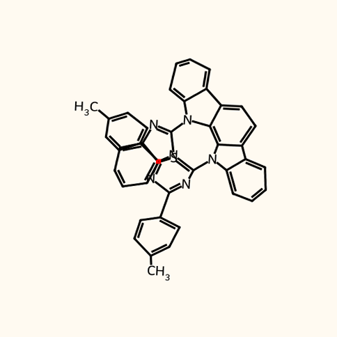 Cc1ccc(-c2nc(-c3ccc(C)cc3)nc(-n3c4ccccc4c4ccc5c6ccccc6n(-c6nc7ccccc7s6)c5c43)n2)cc1